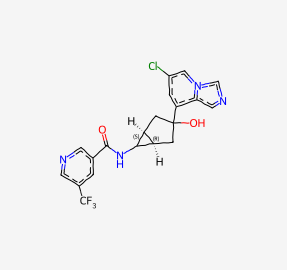 O=C(NC1[C@H]2CC(O)(c3cc(Cl)cn4cncc34)C[C@@H]12)c1cncc(C(F)(F)F)c1